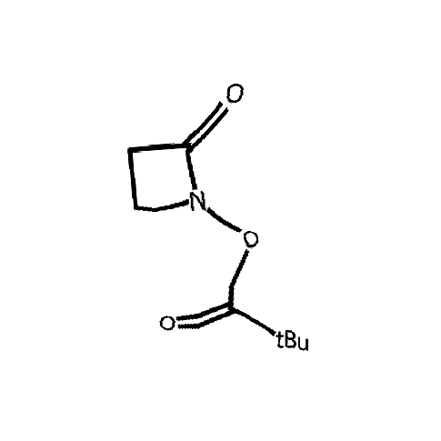 CC(C)(C)C(=O)ON1CCC1=O